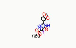 CCCCOC(=O)c1nn2cc(-c3ccc4c(c3)OCCO4)[nH]c(=O)c2c1I